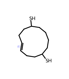 SC1CC/C=C/CCC(S)CCCC1